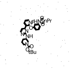 CCCS(=O)(=O)Nc1cccc(Oc2ncccc2-c2ccnc(N[C@H]3CCCN(C(=O)OC(C)(C)C)C3)n2)c1F